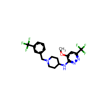 COc1cc(C(F)(F)F)nnc1NC1CCN(Cc2cccc(C(F)(F)F)c2)CC1